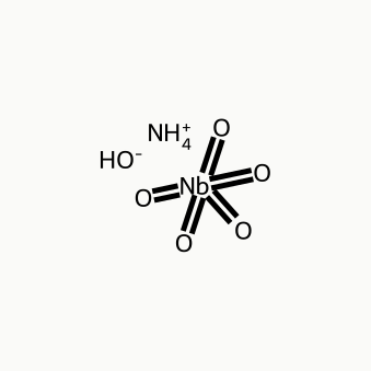 [NH4+].[OH-].[O]=[Nb](=[O])(=[O])(=[O])=[O]